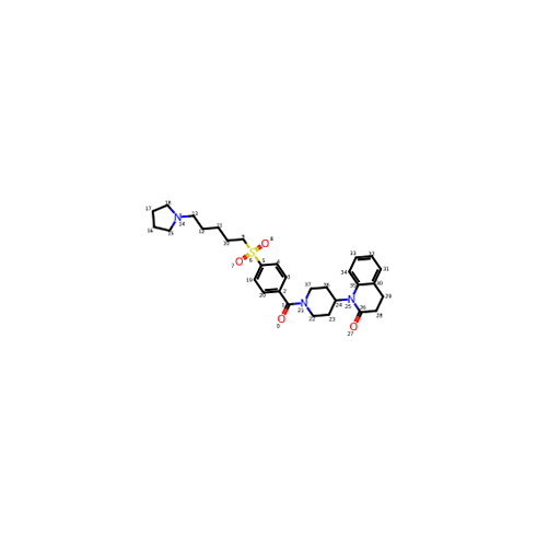 O=C(c1ccc(S(=O)(=O)CCCCCN2CCCC2)cc1)N1CCC(N2C(=O)CCc3ccccc32)CC1